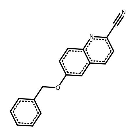 N#Cc1ccc2cc(OCc3ccccc3)ccc2n1